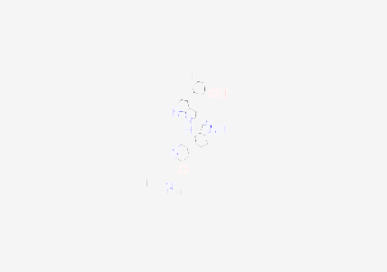 CN(C)CCOc1cncc(-c2ccc3[nH]nc(-c4cc5c(-c6cc(O)cc(F)c6)ccnc5[nH]4)c3c2)c1